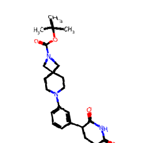 CC(C)(C)OC(=O)N1CC2(CCN(c3cccc(C4CCC(=O)NC4=O)c3)CC2)C1